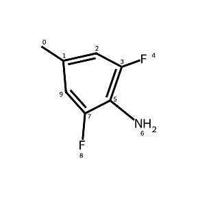 Cc1cc(F)c(N)c(F)c1